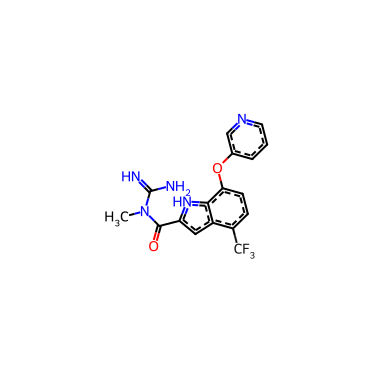 CN(C(=N)N)C(=O)c1cc2c(C(F)(F)F)ccc(Oc3cccnc3)c2[nH]1